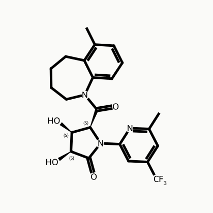 Cc1cc(C(F)(F)F)cc(N2C(=O)[C@@H](O)[C@@H](O)[C@H]2C(=O)N2CCCCc3c(C)cccc32)n1